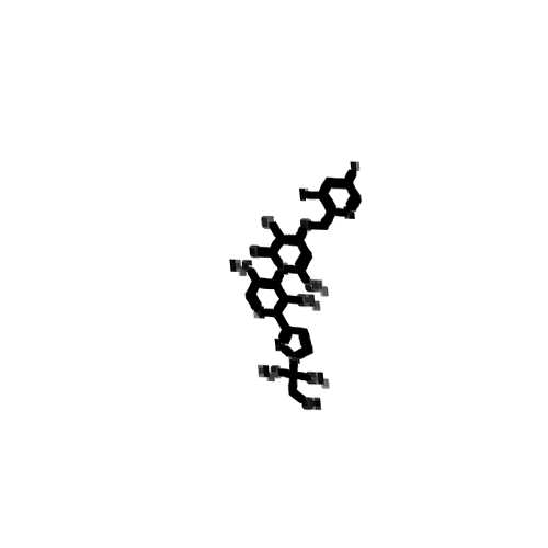 CC1=C(n2c(C)cc(OCc3ncc(F)cc3F)c(Cl)c2=O)C(C)C(c2ccn(C(C)(C)CO)n2)N=C1